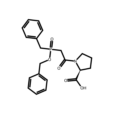 O=C(O)[C@@H]1CCCN1C(=O)CP(=O)(Cc1ccccc1)OCc1ccccc1